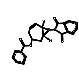 O=C(O[C@H]1CC=C[C@H]2[C@@H](C1)N2N1C(=O)c2ccccc2C1=O)c1ccccc1